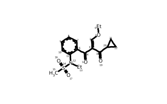 CCOC=C(C(=O)c1ccccc1N(CC)S(C)(=O)=O)C(=O)C1CC1